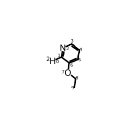 [2H]c1ncccc1OCC